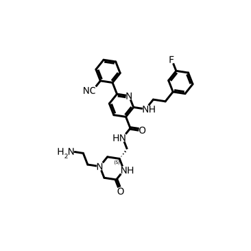 N#Cc1ccccc1-c1ccc(C(=O)NC[C@H]2CN(CCN)CC(=O)N2)c(NCCc2cccc(F)c2)n1